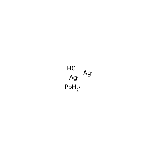 Cl.[Ag].[Ag].[PbH2]